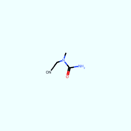 CN(CN=O)C(N)=O